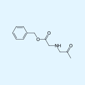 CC(=O)CNCC(=O)OCc1ccccc1